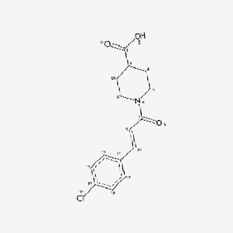 O=C(O)C1CCN(C(=O)C=Cc2ccc(Cl)cc2)CC1